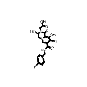 O=C(O)CN1C(=O)c2c(O)c(=O)c(C(=O)NCc3ccc(F)cc3)cn2CC1O